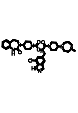 CN1CCCN(C2CCN(C(=O)[C@@H](Cc3cc(Cl)c4[nH]ncc4c3)OC(=O)N3CCC(N4CCc5ccccc5NC4=O)CC3)CC2)CC1